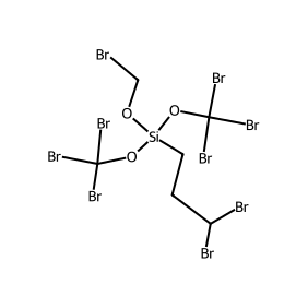 BrCO[Si](CCC(Br)Br)(OC(Br)(Br)Br)OC(Br)(Br)Br